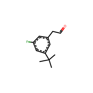 CC(C)(C)c1cc(F)cc(CC=O)c1